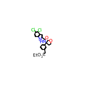 CCOC(=O)Cc1cccc(C2(NC(=O)c3cc4c(Cl)c(Cl)ccc4n3C)CCOC2)c1